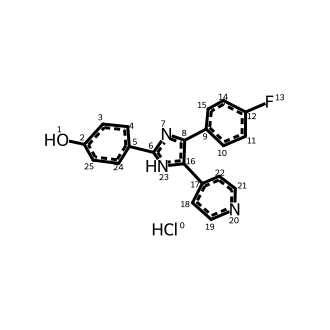 Cl.Oc1ccc(-c2nc(-c3ccc(F)cc3)c(-c3ccncc3)[nH]2)cc1